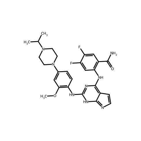 COc1cc(N2CCN(C(C)C)CC2)ccc1Nc1nc(Nc2cc(F)c(F)cc2C(N)=O)c2ccnc-2[nH]1